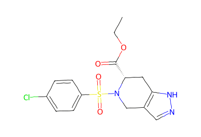 CCOC(=O)[C@@H]1Cc2[nH]ncc2CN1S(=O)(=O)c1ccc(Cl)cc1